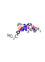 Cc1ccccc1N(C)C(=O)COc1cccc(N(CCC(C)C)C(=O)CNC(=O)Nc2cccc(CC(=O)O)c2)c1